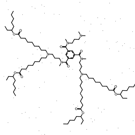 CCCCCC(CC)OC(=O)CCCCCCCCN(CCCCCCCCC(=O)OC(CC)CCCCC)CCCN(C)C(=O)c1cc(C(=O)N(C)CCCN(C)C)cc(C(=O)N(C)CCCN(CCCCCCCCC(=O)OC(CC)CCCCC)CCCCCCCCC(=O)OC(CC)CCCCC)c1